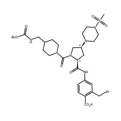 CC(C)COC(=O)NCC1CCN(C(=O)N2C[C@@H](N3CCN(S(C)(=O)=O)CC3)C[C@H]2C(=O)Nc2ccc(C(=O)O)c(CC(C)C)c2)CC1